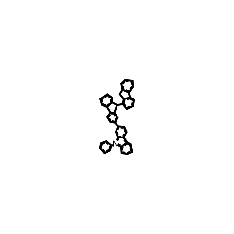 c1ccc(-n2c3ccccc3c3ccc(-c4ccc5c(c4)C(c4cccc6c4Cc4ccccc4-6)c4ccccc4-5)cc32)cc1